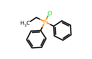 CC[P](Cl)(c1ccccc1)c1ccccc1